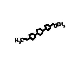 CC=Cc1ccc(C2CCC(c3ccc(COC)cc3)CC2)cc1